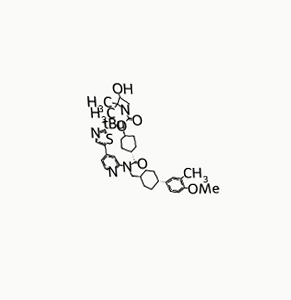 COc1ccc([C@H]2CC[C@H](CN(c3cc(-c4cnc(C(C)(C)C)s4)ccn3)C(=O)[C@H]3CC[C@H](OC(=O)N4CC(O)C4(C)C)CC3)CC2)cc1C